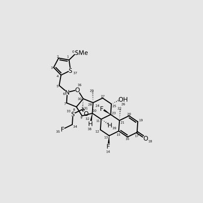 CSc1ccc(CN2CC3C[C@H]4[C@@H]5C[C@H](F)C6=CC(=O)C=C[C@]6(C)[C@@]5(F)[C@@H](O)C[C@]4(C)[C@]3(C(=O)SCF)O2)s1